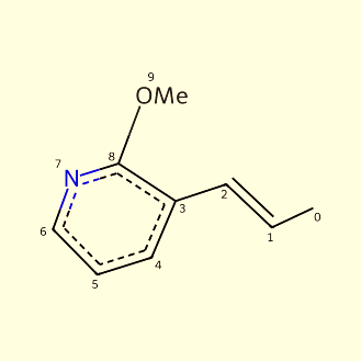 C/C=C/c1cccnc1OC